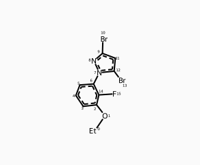 CCOc1cccc(-n2nc(Br)cc2Br)c1F